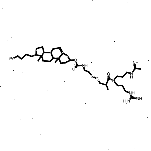 CC(=N)NCCCN(CCCNC(=N)N)C(=O)C(C)CSSCCNC(=O)OC1CCC2(C)C(=CCC3C2CCC2(C)C(CCCCC(C)C)CCC32)C1